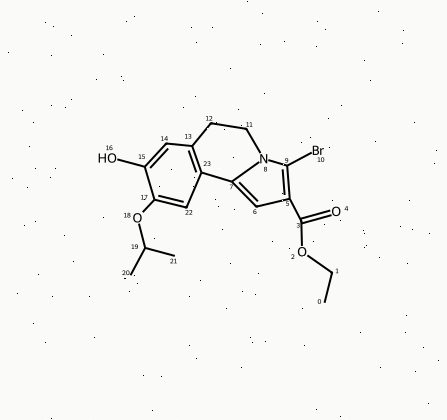 CCOC(=O)c1cc2n(c1Br)CCc1cc(O)c(OC(C)C)cc1-2